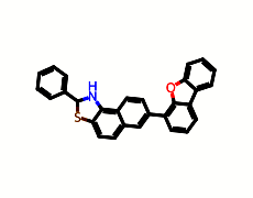 c1ccc(C2Nc3c(ccc4cc(-c5cccc6c5oc5ccccc56)ccc34)S2)cc1